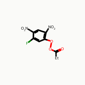 CCC(=O)OOc1cc(F)c([N+](=O)[O-])cc1[N+](=O)[O-]